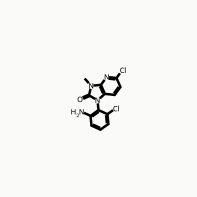 Cn1c(=O)n(-c2c(N)cccc2Cl)c2ccc(Cl)nc21